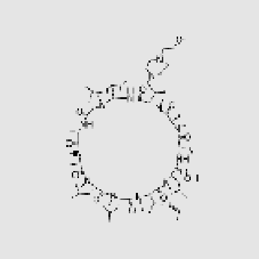 C/C=C/C[C@@H](C)[C@@H](O)[C@H]1C(=O)N[C@@H](CC)C(=O)N(C)[C@H](C)C(=O)N(C)[C@@H]([C@H](C)CN2CCN(CCOC)CC2)C(=O)NC(C(C)C)C(=O)N(C)[C@@H](CC(C)C)C(=O)N[C@@H](C)C(=O)N[C@H](C)C(=O)N(C)[C@@H](CC(C)C)C(=O)N(C)[C@@H](CC(C)C)C(=O)N(C)C(C(C)C)C(=O)N1C